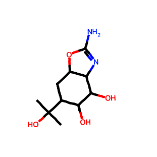 CC(C)(O)C1CC2OC(N)=NC2C(O)C1O